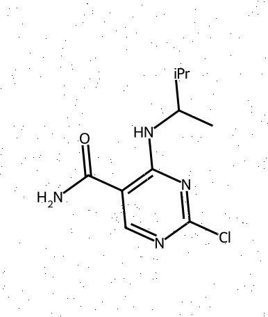 CC(C)C(C)Nc1nc(Cl)ncc1C(N)=O